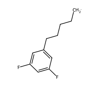 [CH2]CCCCc1cc(F)cc(F)c1